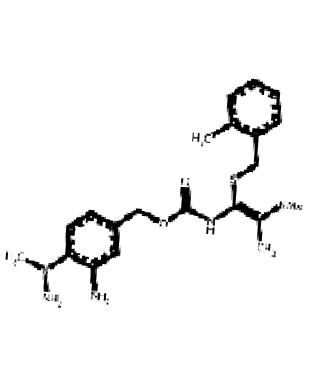 CN/C(C)=C(/NC(=O)OCc1ccc(N(C)N)c(N)c1)SCc1ccccc1C